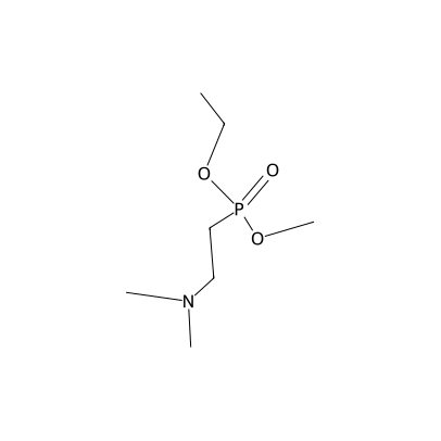 CCOP(=O)(CCN(C)C)OC